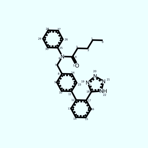 CCCCC(=O)N(Cc1ccc(-c2ccccc2-c2nnn[nH]2)cc1)c1ccccc1